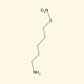 NCCCCCO[N+](=O)[O-]